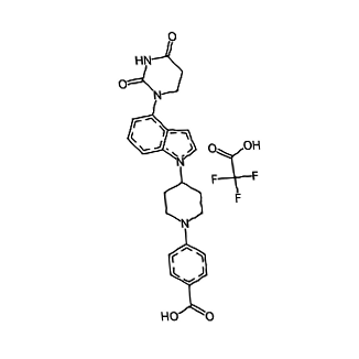 O=C(O)C(F)(F)F.O=C1CCN(c2cccc3c2ccn3C2CCN(c3ccc(C(=O)O)cc3)CC2)C(=O)N1